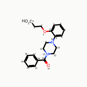 O=C(O)CCOc1ccccc1N1CCN(C(=O)c2ccccc2)CC1